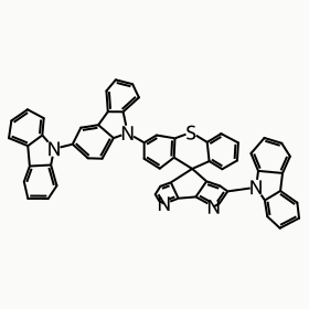 c1ccc2c(c1)Sc1cc(-n3c4ccccc4c4cc(-n5c6ccccc6c6ccccc65)ccc43)ccc1C21c2cccnc2-c2ncc(-n3c4ccccc4c4ccccc43)cc21